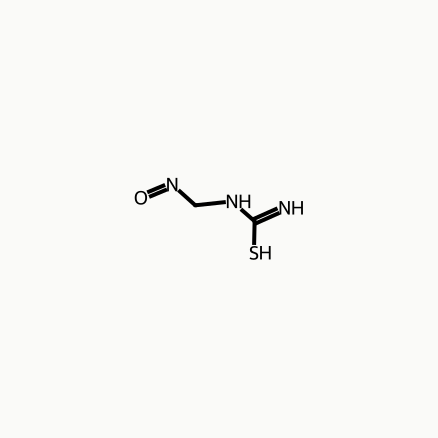 N=C(S)NCN=O